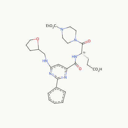 CCOC(=O)N1CCN(C(=O)[C@H](CCC(=O)O)NC(=O)c2cc(NCC3CCCO3)nc(-c3ccccc3)n2)CC1